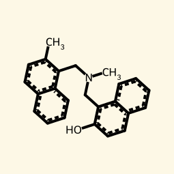 Cc1ccc2ccccc2c1CN(C)Cc1c(O)ccc2ccccc12